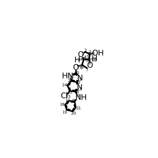 O[C@@H]1CO[C@H]2[C@@H]1OC[C@H]2Oc1nc2nc(Nc3ccccc3)c(Cl)cc2[nH]1